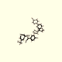 Cc1ccc(C(=O)Nc2cncc(C(F)(F)F)c2)cc1[C@@H]1CCN(c2cnn3ccc(N4CCN(C)CC4)nc23)C1